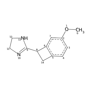 COc1ccc2c(c1)C(C1=NCCN1)C2